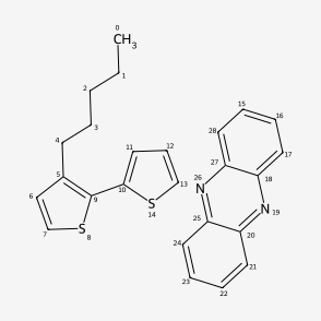 CCCCCc1ccsc1-c1cccs1.c1ccc2nc3ccccc3nc2c1